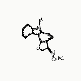 CCn1c2ccccc2c2c3c(ccc21)/C(=N/OC(C)=O)CO3